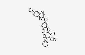 CC(Oc1cc(Oc2cnc3cc(Cl)ccc3n2)ccc1Cl)C(=O)C(C#N)C(=O)N1CCCCC1